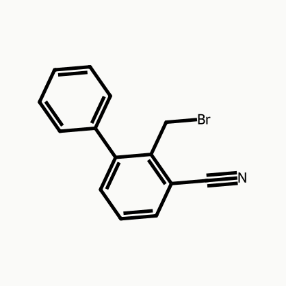 N#Cc1cccc(-c2ccccc2)c1CBr